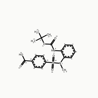 CN(c1ccccc1NC(=O)OC(C)(C)C)S(=O)(=O)c1ccc(C(=O)O)cc1